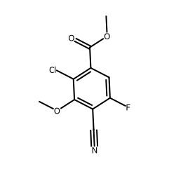 COC(=O)c1cc(F)c(C#N)c(OC)c1Cl